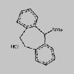 CNC1c2ccccc2CCc2ccccc21.Cl